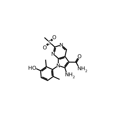 Cc1ccc(O)c(C)c1-n1c(N)c(C(N)=O)c2cnc(S(C)(=O)=O)nc21